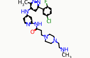 CNCCN1CCN(CCC(=O)Nc2cc(Nc3cc(-c4cc(Cl)ccc4F)nnc3C)ccn2)CC1